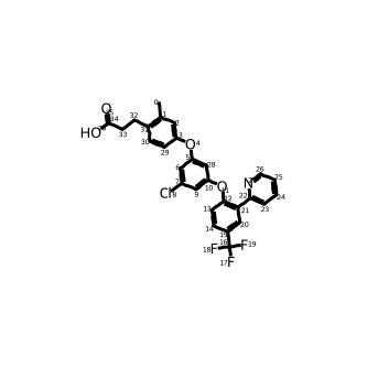 Cc1cc(Oc2cc(Cl)cc(Oc3ccc(C(F)(F)F)cc3-c3ccccn3)c2)ccc1CCC(=O)O